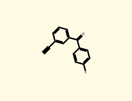 C#Cc1cccc(C(=O)c2ccc(F)cc2)c1